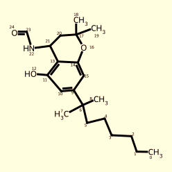 CCCCCCC(C)(C)c1cc(O)c2c(c1)OC(C)(C)CC2NC=O